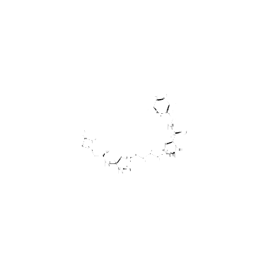 O=C(CN1CC(F)C1)Nc1cn(CCCCn2cc(C(=O)NCc3ccccn3)nn2)nn1